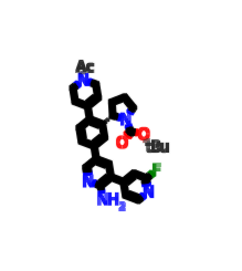 CC(=O)N1CC=C(c2ccc(-c3cnc(N)c(-c4ccnc(F)c4)c3)cc2[C@@H]2CCCN2C(=O)OC(C)(C)C)CC1